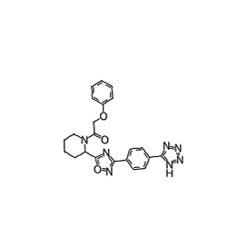 O=C(COc1ccccc1)N1CCCCC1c1nc(-c2ccc(-c3nnn[nH]3)cc2)no1